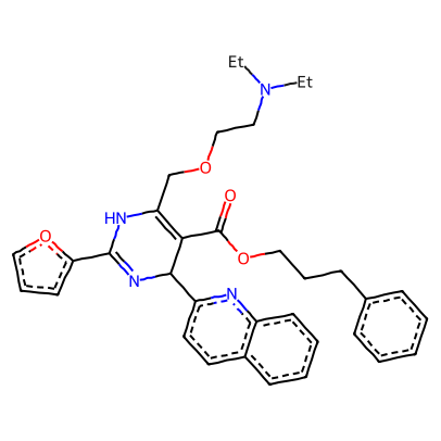 CCN(CC)CCOCC1=C(C(=O)OCCCc2ccccc2)C(c2ccc3ccccc3n2)N=C(c2ccco2)N1